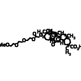 COCCOCCOCCOC(=O)CO[C@H]1CC[C@]2(C)[C@H]3C(=O)C=C4[C@@H]5C[C@@](C)(C(=O)O)CC[C@]5(C)CC[C@@]4(C)[C@]3(C)CC[C@H]2C1(C)C